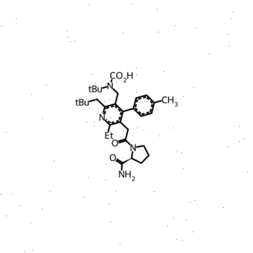 CCc1nc(CC(C)(C)C)c(CN(C(=O)O)C(C)(C)C)c(-c2ccc(C)cc2)c1CC(=O)N1CCC[C@H]1C(N)=O